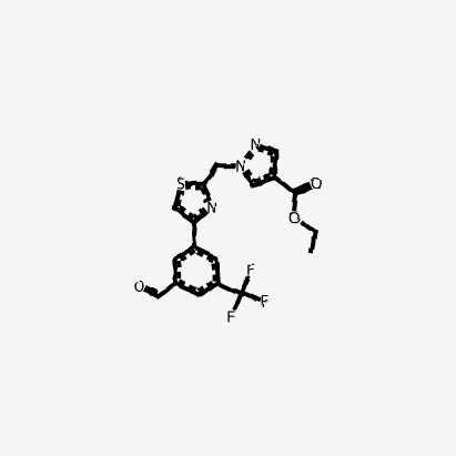 CCOC(=O)c1cnn(Cc2nc(-c3cc(C=O)cc(C(F)(F)F)c3)cs2)c1